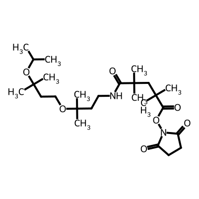 CC(C)OC(C)(C)CCOC(C)(C)CCNC(=O)C(C)(C)CC(C)(C)C(=O)ON1C(=O)CCC1=O